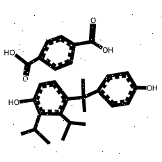 CC(C)c1c(O)ccc(C(C)(C)c2ccc(O)cc2)c1C(C)C.O=C(O)c1ccc(C(=O)O)cc1